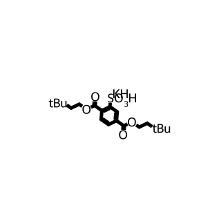 CC(C)(C)CCOC(=O)c1ccc(C(=O)OCCC(C)(C)C)c(S(=O)(=O)O)c1.[KH]